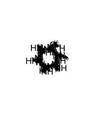 CCCNc1nc2nc(n1)[nH]c1nc(OC(C)CC)nc(n1)[nH]c1nc(NC)nc(n1)[nH]c1nc(NC)nc(n1)[nH]c1nc(NC)nc(n1)[nH]c1nc(NC)nc(n1)[nH]2